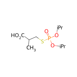 CC(C)OP(=O)(OC(C)C)SCC(C)C(=O)O